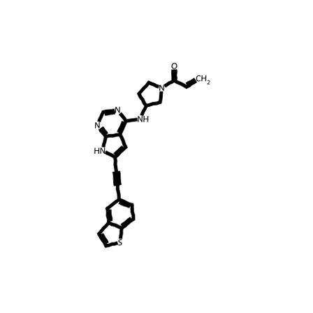 C=CC(=O)N1CCC(Nc2ncnc3[nH]c(C#Cc4ccc5sccc5c4)cc23)C1